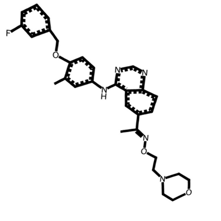 C/C(=N\OCCN1CCOCC1)c1ccc2ncnc(Nc3ccc(OCc4cccc(F)c4)c(C)c3)c2c1